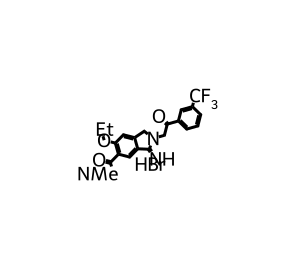 Br.CCOc1cc2c(cc1C(=O)NC)C(=N)N(CC(=O)c1cccc(C(F)(F)F)c1)C2